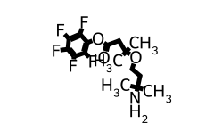 CC(C)(N)CCOC(C)(C)CC(=O)Oc1c(F)c(F)c(F)c(F)c1F